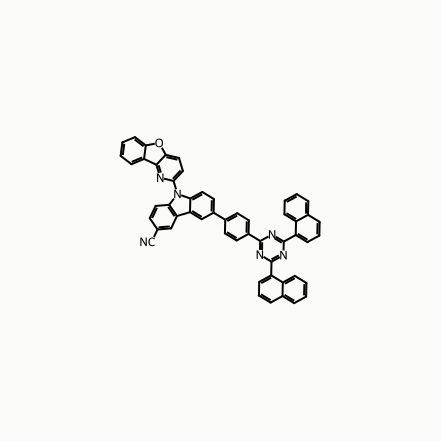 N#Cc1ccc2c(c1)c1cc(-c3ccc(-c4nc(-c5cccc6ccccc56)nc(-c5cccc6ccccc56)n4)cc3)ccc1n2-c1ccc2oc3ccccc3c2n1